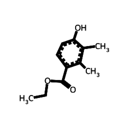 CCOC(=O)c1ccc(O)c(C)c1C